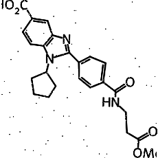 COC(=O)CCNC(=O)c1ccc(-c2nc3cc(C(=O)O)ccc3n2C2CCCC2)cc1